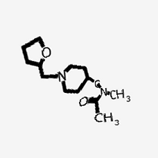 CC(=O)N(C)CC1CCN(CC2CCCO2)CC1